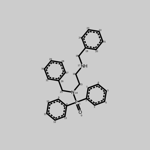 O=P(c1ccccc1)(c1ccccc1)N(CCNCc1ccccc1)Cc1ccccc1